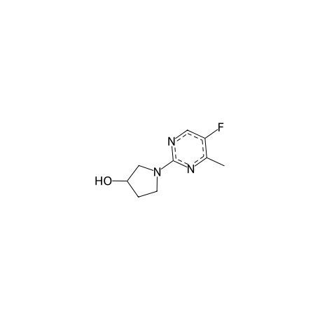 Cc1nc(N2CCC(O)C2)ncc1F